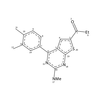 CCC(=O)c1cc2c(-c3ccc(C)c(C)c3)nc(NC)nc2s1